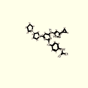 CCC(=O)Nc1ccc(Sc2nc(Nc3cc(C4CC4)n[nH]3)cc(N3CC[C@H](N4CCCC4)C3)n2)cc1